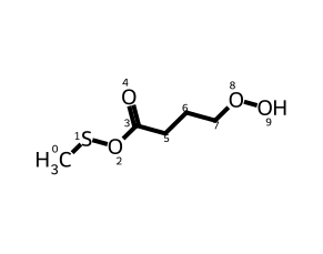 CSOC(=O)CCCOO